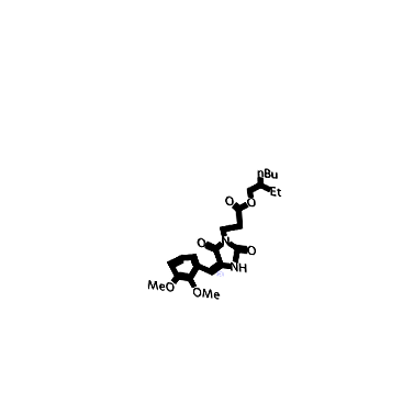 CCCCC(CC)COC(=O)CCN1C(=O)N/C(=C/c2cccc(OC)c2OC)C1=O